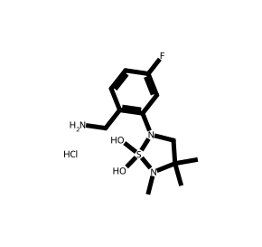 CN1C(C)(C)CN(c2cc(F)ccc2CN)S1(O)O.Cl